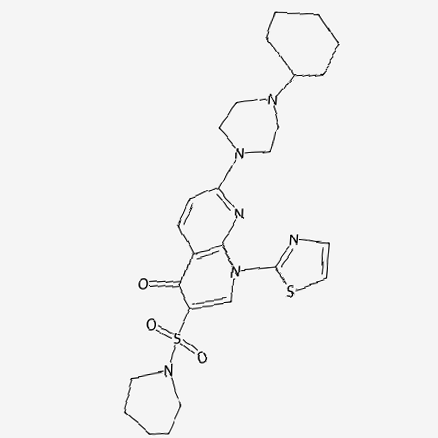 O=c1c(S(=O)(=O)N2CCCCC2)cn(-c2nccs2)c2nc(N3CCN(C4CCCCC4)CC3)ccc12